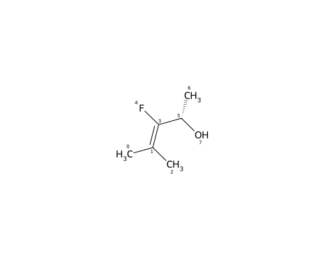 CC(C)=C(F)[C@H](C)O